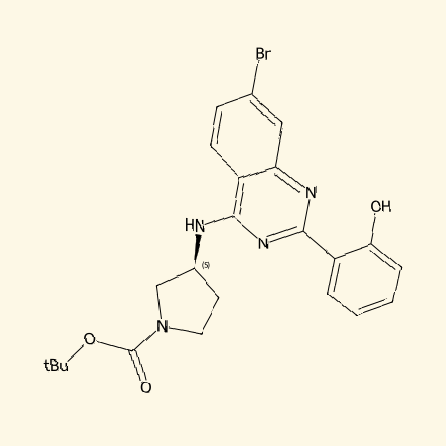 CC(C)(C)OC(=O)N1CC[C@H](Nc2nc(-c3ccccc3O)nc3cc(Br)ccc23)C1